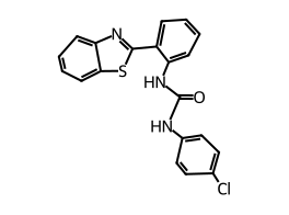 O=C(Nc1ccc(Cl)cc1)Nc1ccccc1-c1nc2ccccc2s1